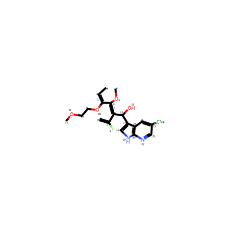 C=C(F)/C(=C(OC)\C(=C/C)OCCOC)C(O)c1c[nH]c2ncc(Cl)cc12